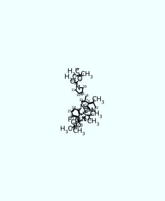 Cc1cncc2c1c(C[C@@H]1CCN(C(=O)OC(C)(C)C)C1)cn2-c1ccc(F)cc1S(=O)(=NC(=O)OC(C)(C)C)C(C)C